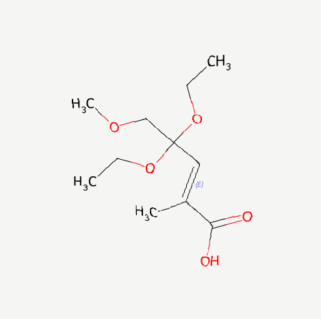 CCOC(/C=C(\C)C(=O)O)(COC)OCC